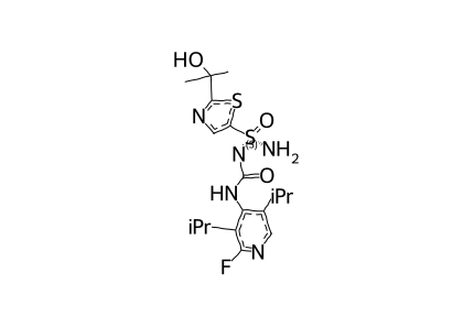 CC(C)c1cnc(F)c(C(C)C)c1NC(=O)N=[S@](N)(=O)c1cnc(C(C)(C)O)s1